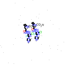 C[C@@H]1CN(C)CCN1c1nc(Cl)nc(NNC(=O)[C@@H](CNC(=O)O)CC2CCC2)c1F.C[C@@H]1CN(C)CCN1c1nc(Cl)nc(NNC(=O)[C@@H](CNC(=O)O)CC2CCC2)c1F